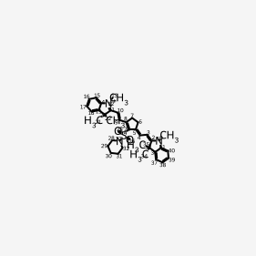 CN1/C(=C/C=C2\CCC(/C=C/C3=[N+](C)c4ccccc4C3(C)C)=C2S(=O)(=O)N2CCCCC2)C(C)(C)c2ccccc21